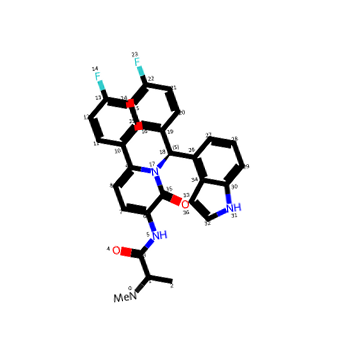 CNC(C)C(=O)Nc1ccc(-c2ccc(F)cc2)n([C@@H](c2ccc(F)cc2)c2cccc3[nH]ccc23)c1=O